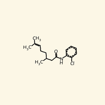 CC(C)=CCCC(C)CC(=O)Nc1ccccc1Cl